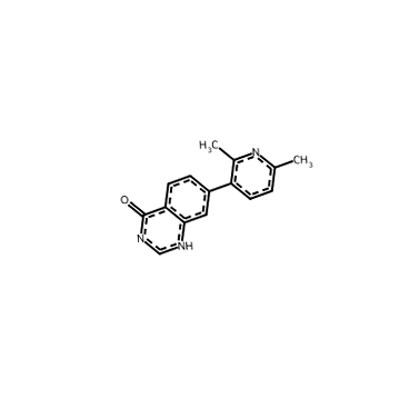 Cc1ccc(-c2ccc3c(=O)nc[nH]c3c2)c(C)n1